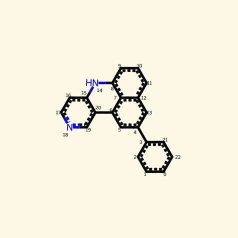 c1ccc(-c2cc3c4c(cccc4c2)Nc2ccncc2-3)cc1